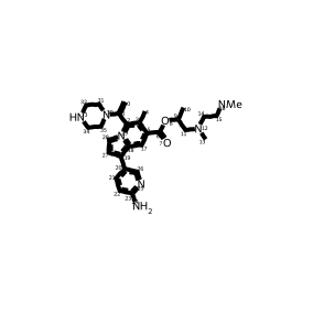 C=C(c1c(C)c(C(=O)OC(C)CN(C)CCNC)cc2c(-c3ccc(N)nc3)ccn12)N1CCNCC1